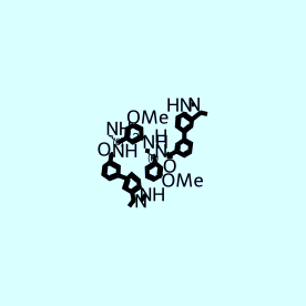 COc1cccc([C@H](CNc2cc(OC)cc([C@@H](CN)NC(=O)c3cccc(-c4ccc5[nH]nc(C)c5c4)c3)c2)NC(=O)c2cccc(-c3ccc4[nH]nc(C)c4c3)c2)c1